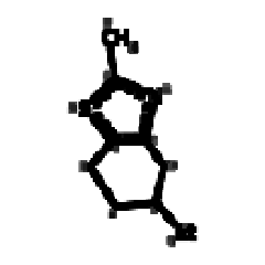 CCC1CCc2sc(C)nc2C1